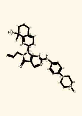 C=CCn1c(=O)c2cnc(Nc3ccc(N4CCN(C)CC4)cc3)nc2n1C1CC=C2CCCC(C)(N)C2=N1